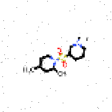 CC1=CCN(S(=O)(=O)C2CCCN(C)C2)C(C)C1